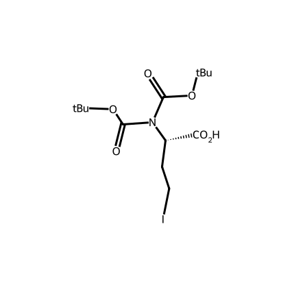 CC(C)(C)OC(=O)N(C(=O)OC(C)(C)C)[C@@H](CCI)C(=O)O